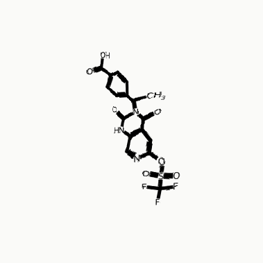 CC(c1ccc(C(=O)O)cc1)n1c(=O)[nH]c2cnc(OS(=O)(=O)C(F)(F)F)cc2c1=O